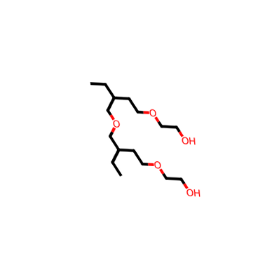 CCC(CCOCCO)COCC(CC)CCOCCO